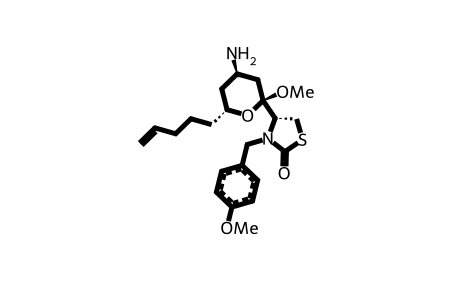 C=CCCC[C@@H]1C[C@@H](N)C[C@](OC)([C@@H]2CSC(=O)N2Cc2ccc(OC)cc2)O1